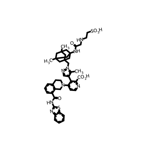 Cc1c(-c2c(N3CCc4cccc(C(=O)Nc5nc6ccccc6s5)c4C3)ccnc2C(=O)O)cnn1CC12CC3(C)CC(C)(C1)CC(NC(=O)CNCCS(=O)(=O)O)(C3)C2